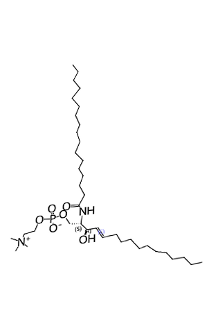 CCCCCCCCCCC/C=C/[C@@H](O)[C@H](COP(=O)([O-])OCC[N+](C)(C)C)NC(=O)CCCCCCCCCCCCCCCC